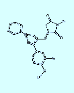 CCOc1ccc(-c2nn(-c3ccccc3)cc2C=C2SC(=O)N(CC)C2=O)cc1Br